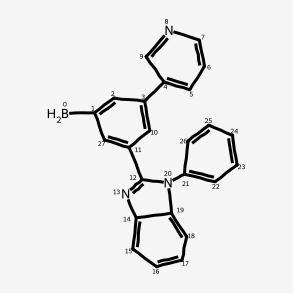 Bc1cc(-c2cccnc2)cc(-c2nc3ccccc3n2-c2ccccc2)c1